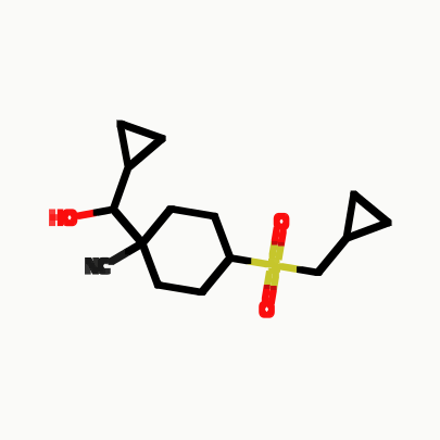 N#CC1(C(O)C2CC2)CCC(S(=O)(=O)CC2CC2)CC1